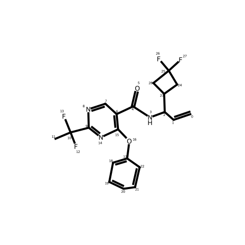 C=CC(NC(=O)c1cnc(C(C)(F)F)nc1Oc1ccccc1)C1CC(F)(F)C1